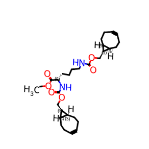 CCOC(=O)[C@H](CCCCNC(=O)OC[C@@H]1[C@@H]2CCC#CCC[C@@H]21)NC(=O)OC[C@@H]1[C@@H]2CCC#CCC[C@@H]21